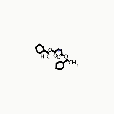 CC(OC(=O)/C=C\C(=O)OC(C)C1CCCCC1)C1CCCCC1